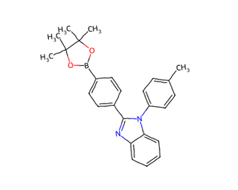 Cc1ccc(-n2c(-c3ccc(B4OC(C)(C)C(C)(C)O4)cc3)nc3ccccc32)cc1